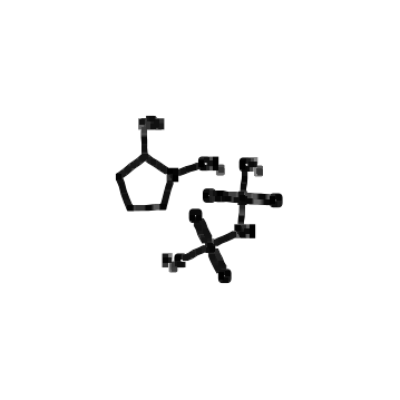 CCCCC1CCCN1C.O=S(=O)(NS(=O)(=O)C(F)(F)F)C(F)(F)F